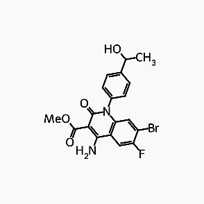 COC(=O)c1c(N)c2cc(F)c(Br)cc2n(-c2ccc(C(C)O)cc2)c1=O